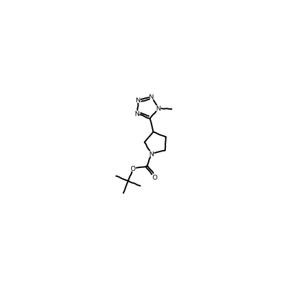 Cn1nnnc1C1CCN(C(=O)OC(C)(C)C)C1